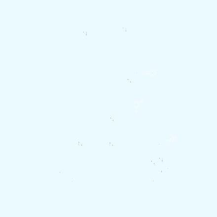 COc1cc(C(=O)N2CC3CCC2[C@@H]3N)cc2nc(-c3cc4ccccc4n3CC3CC3)n(CC3CN(C(=O)c4ccnc(C#N)c4)C3)c12